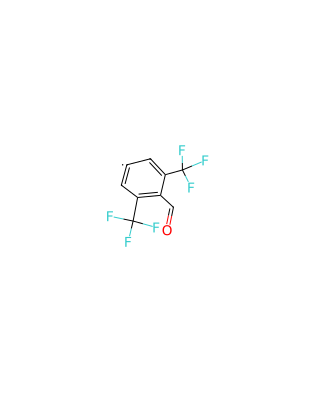 O=Cc1c(C(F)(F)F)c[c]cc1C(F)(F)F